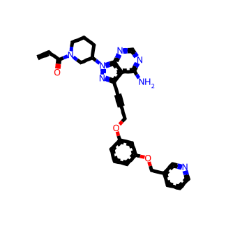 C=CC(=O)N1CCCC(n2nc(C#CCOc3cccc(OCc4cccnc4)c3)c3c(N)ncnc32)C1